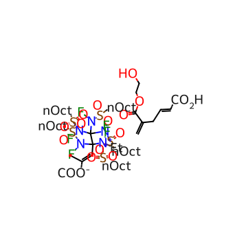 C=C(CC=CC(=O)O)C(=O)OCCO.CCCCCCCCS(=O)(=O)N(F)C(N(F)S(=O)(=O)CCCCCCCC)(N(F)S(=O)(=O)CCCCCCCC)C(C=C(C)C(=O)[O-])(N(F)S(=O)(=O)CCCCCCCC)[N+](F)(CC)S(=O)(=O)CCCCCCCC